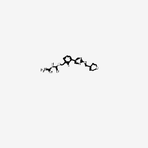 N=C(N)NC(=O)OCc1cccc(-c2cnc(OCC3CCOCC3)nc2)c1F